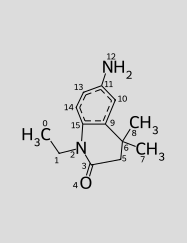 CCN1C(=O)CC(C)(C)c2cc(N)ccc21